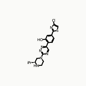 CC(C)[C@H]1CN(c2ncc(-c3ccc(-c4nc(Cl)cs4)cc3O)nn2)CCN1